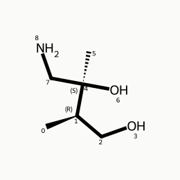 C[C@H](CO)[C@](C)(O)CN